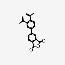 C=C(C)c1ccc(-c2ccc3c(c2)C(=O)OC3=O)cc1C(=C)C